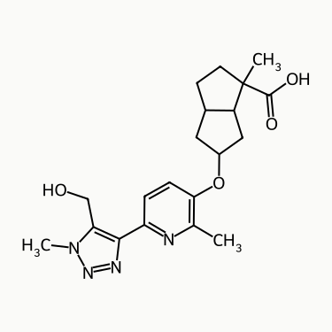 Cc1nc(-c2nnn(C)c2CO)ccc1OC1CC2CCC(C)(C(=O)O)C2C1